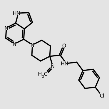 C=NC1(C(=O)NCC2=CCC(Cl)C=C2)CCN(c2ncnc3[nH]ccc23)CC1